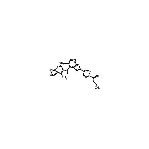 CCCC(=N)c1ncc(-c2cc3c(Nc4ccc5[nH]ccc5c4C)c(C#N)cnc3s2)cn1